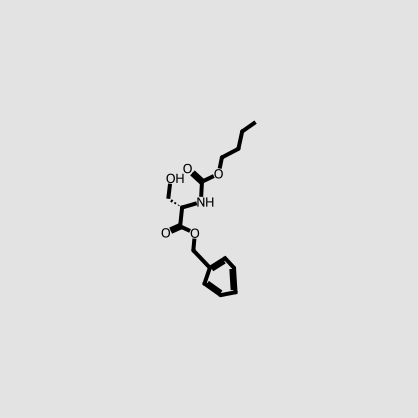 CCCCOC(=O)N[C@@H](CO)C(=O)OCc1ccccc1